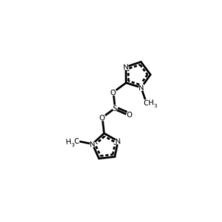 Cn1ccnc1OS(=O)Oc1nccn1C